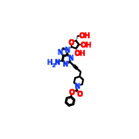 Nc1nc(C#CCC2CCN(C(=O)Oc3ccccc3)CC2)nc2c1ncn2[C@@H]1O[C@H](CO)C(O)[C@@H]1O